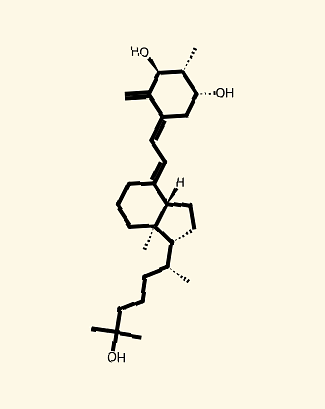 C=C1/C(=C/C=C2\CCC[C@]3(C)[C@@H]([C@H](C)CCCC(C)(C)O)CC[C@@H]23)C[C@@H](O)[C@@H](C)[C@@H]1O